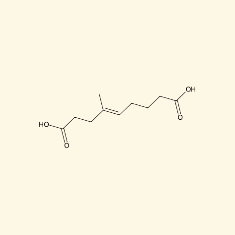 C/C(=C\CCCC(=O)O)CCC(=O)O